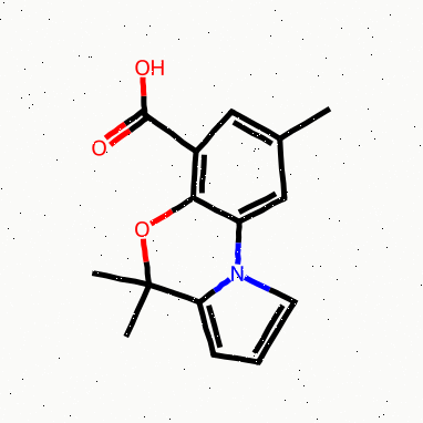 Cc1cc(C(=O)O)c2c(c1)-n1cccc1C(C)(C)O2